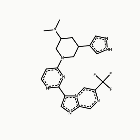 CP(C)C1CC(c2cn[nH]c2)CN(c2ccnc(-c3cnc4cnc(C(F)(F)F)cn34)n2)C1